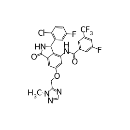 Cn1ncnc1COc1cc(NC(=O)c2cc(F)cc(C(F)(F)F)c2)c2c(c1)C(=O)NC2c1cc(F)ccc1Cl